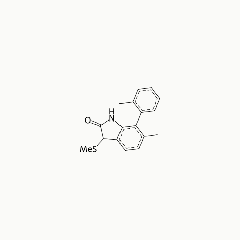 CSC1C(=O)Nc2c1ccc(C)c2-c1ccccc1C